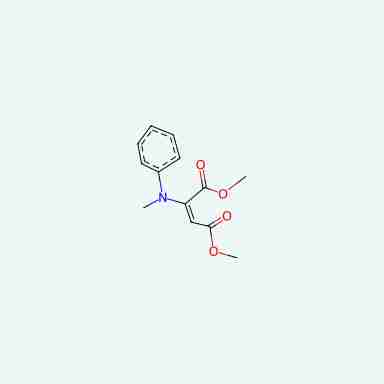 COC(=O)/C=C(\C(=O)OC)N(C)c1ccccc1